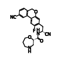 N#Cc1ccc2c(c1)-c1cc(F)c(C[C@H](C#N)NC(=O)[C@@H]3CNCCCO3)cc1OC2